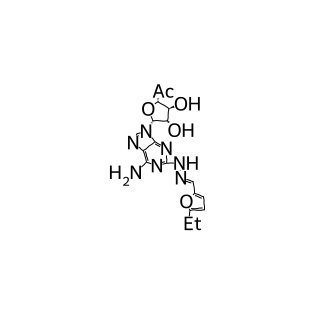 CCc1ccc(/C=N/Nc2nc(N)c3ncn([C@@H]4O[C@H](C(C)=O)[C@@H](O)[C@H]4O)c3n2)o1